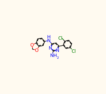 Nc1nc(Nc2ccc3c(c2)OCO3)cc(-c2cc(Cl)ccc2Cl)n1